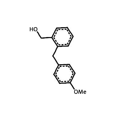 COc1ccc(Cc2ccccc2CO)cc1